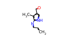 C=C/C=N\c1[nH]cc(C=O)c1C